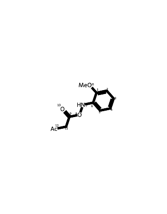 COc1ccccc1NOC(=O)CC(C)=O